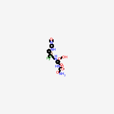 COC(=O)C(CCC(N)=O)NC(=O)c1ccc(NCC#Cc2sc3c(NC4CCC(N5CCOCC5)CC4)cccc3c2CC(F)(F)F)c(OCCO)c1